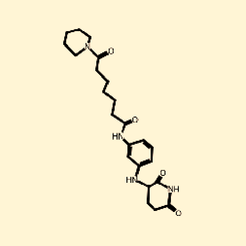 O=C1CCC(Nc2cccc(NC(=O)CCCCCC(=O)N3CCCCC3)c2)C(=O)N1